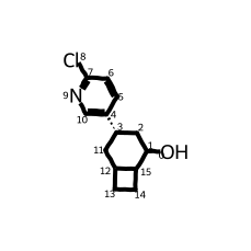 OC1C[C@@H](c2ccc(Cl)nc2)CC2CCC12